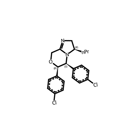 CCC[C@@H]1CN=C2CO[C@H](c3ccc(Cl)cc3)[C@H](c3ccc(Cl)cc3)N21